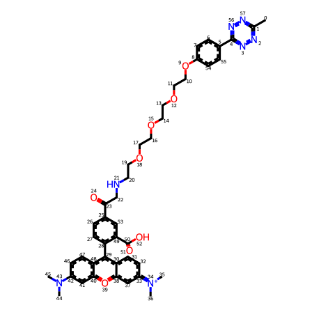 Cc1nnc(-c2ccc(OCCOCCOCCOCCNCC(=O)c3ccc(-c4c5ccc(=[N+](C)C)cc-5oc5cc(N(C)C)ccc45)c(C(=O)O)c3)cc2)nn1